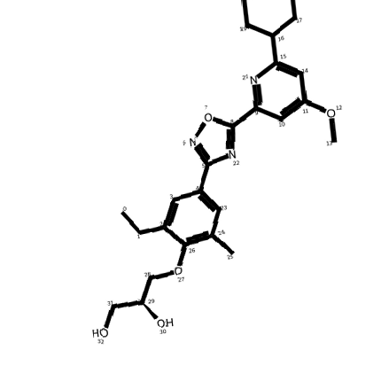 CCc1cc(-c2noc(-c3cc(OC)cc(C(CC)CC)n3)n2)cc(C)c1OC[C@@H](O)CO